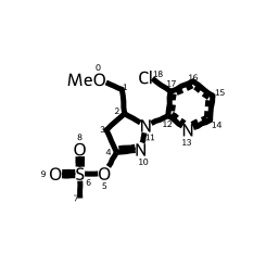 COCC1CC(OS(C)(=O)=O)=NN1c1ncccc1Cl